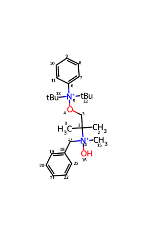 CC(C)(CO[N+](c1ccccc1)(C(C)(C)C)C(C)(C)C)[N+](C)(O)Cc1ccccc1